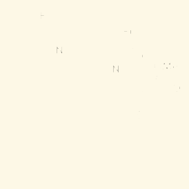 CCC(=O)N(c1cc(C2=CCCCC2)sc1C(=O)OC)C1CCN(CC(F)F)CC1